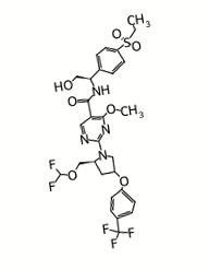 CCS(=O)(=O)c1ccc([C@H](CO)NC(=O)c2cnc(N3CC(Oc4ccc(C(F)(F)F)cc4)C[C@H]3COC(F)F)nc2OC)cc1